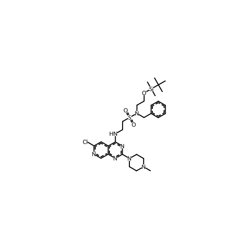 CN1CCN(c2nc(NCCS(=O)(=O)N(CCO[Si](C)(C)C(C)(C)C)Cc3ccccc3)c3cc(Cl)ncc3n2)CC1